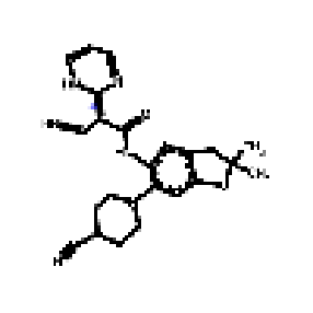 CC1(C)Cc2cc(NC(=O)/C(C=N)=C3\N=CC=CN3)c(N3CCC(C#N)CC3)cc2O1